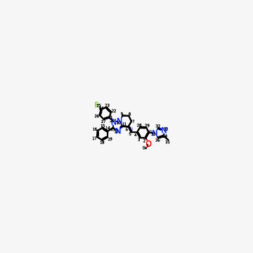 COc1cc(/C=C2\CCCN3C2=NC(c2ccccc2)N3c2ccc(F)cc2)ccc1-n1cnc(C)c1